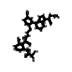 COC(=O)c1csc2c(-c3cc(Cl)ccc3OCCNC(=O)c3c(Br)cncc3NC(=O)C(F)F)ccnc12